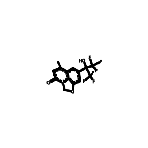 Cc1cc(=O)n2c3c(cc(C(O)(C(F)(F)F)C(F)(F)F)cc13)OC2